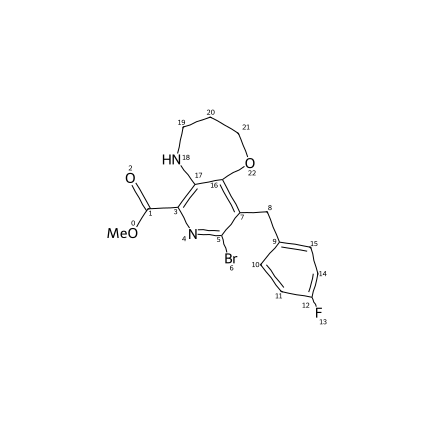 COC(=O)c1nc(Br)c(Cc2ccc(F)cc2)c2c1NCCCO2